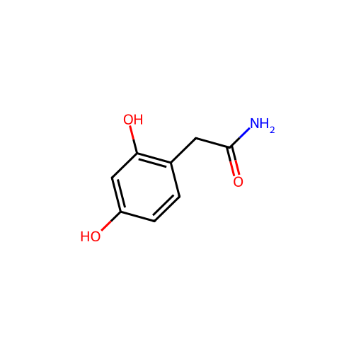 NC(=O)Cc1ccc(O)cc1O